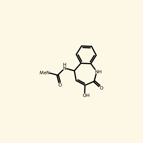 CNC(=O)NC1C=C(O)C(=O)Nc2ccccc21